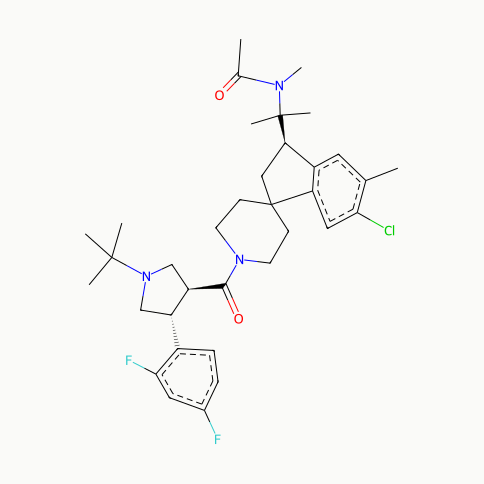 CC(=O)N(C)C(C)(C)[C@@H]1CC2(CCN(C(=O)[C@@H]3CN(C(C)(C)C)C[C@H]3c3ccc(F)cc3F)CC2)c2cc(Cl)c(C)cc21